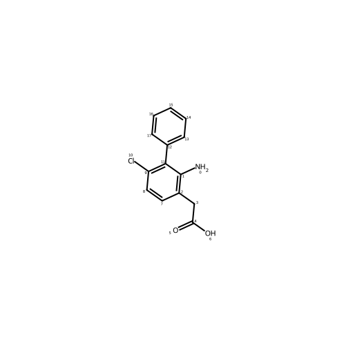 Nc1c(CC(=O)O)ccc(Cl)c1-c1ccccc1